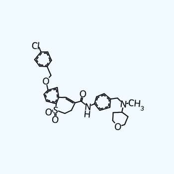 CN(Cc1ccc(NC(=O)C2=Cc3cc(OCc4ccc(Cl)cc4)ccc3S(=O)(=O)CC2)cc1)C1CCOCC1